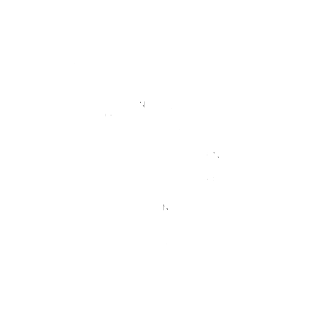 N#Cc1cccc(C#N)c1-c1cc(-c2cccc3c2oc2ccccc23)cc(-n2c3ccccc3c3ccc4c5ccccc5oc4c32)c1